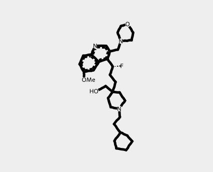 COc1ccc2ncc(CN3CCOCC3)c([C@H](F)CCC3(CO)CCN(CCC4CCCCC4)CC3)c2c1